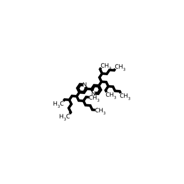 CCCCC(CC)CC(CC(CC)CCCC)c1ccnc(-c2cc(C(CC(CC)CCCC)CC(CC)CCCC)ccn2)c1